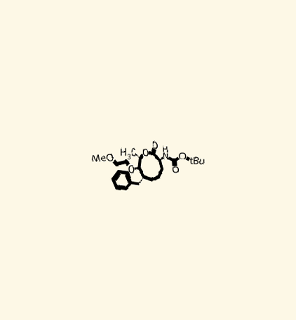 COCCO[C@@H]1[C@@H](Cc2ccccc2)CCC[C@H](NC(=O)OC(C)(C)C)C(=O)O[C@H]1C